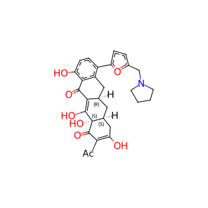 CC(=O)C1=C(O)C[C@@H]2C[C@@H]3Cc4c(-c5ccc(CN6CCCC6)o5)ccc(O)c4C(=O)C3=C(O)[C@]2(O)C1=O